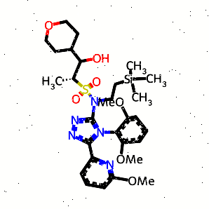 COc1cccc(-c2nnc(N(CC[Si](C)(C)C)S(=O)(=O)[C@H](C)C(O)C3CCOCC3)n2-c2c(OC)cccc2OC)n1